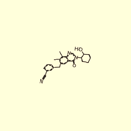 Cc1c(Cc2cccc(C#N)c2)cc2c(=O)n(C3CCCCC3O)cnc2c1C